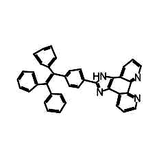 c1ccc(C(=C(c2ccccc2)c2ccc(-c3nc4c5cccnc5c5ncccc5c4[nH]3)cc2)c2ccccc2)cc1